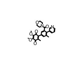 COC1=C(OC)C(=O)C(c2cc(C)c(-c3cccnc3)c(C(=O)N3CCOCC3)c2)=C(C)C1=O